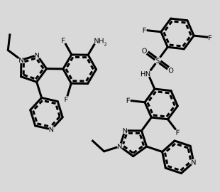 CCn1cc(-c2ccncc2)c(-c2c(F)ccc(N)c2F)n1.CCn1cc(-c2ccncc2)c(-c2c(F)ccc(NS(=O)(=O)c3cc(F)ccc3F)c2F)n1